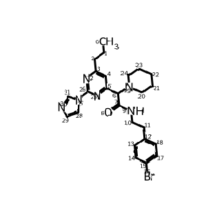 CCCc1cc(C(C(=O)NCCc2ccc(Br)cc2)N2CCCCC2)nc(-n2ccnc2)n1